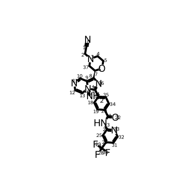 N#CCN1CCO[C@@H](C2=C3C=NC=C[N+]3(N)C(c3ccc(C(=O)Nc4cc(C(F)(F)F)ccn4)cc3)=N2)C1